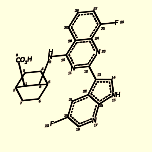 O=C(O)C1C2CCC(CC2)C1Nc1nc(-c2c[nH]c3ncc(F)cc23)nc2c(F)cccc12